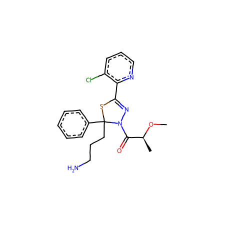 CO[C@@H](C)C(=O)N1N=C(c2ncccc2Cl)SC1(CCCN)c1ccccc1